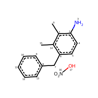 Cc1c(N)ccc(Cc2ccccc2)c1C.O=[N+]([O-])O